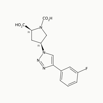 O=C(O)[C@@H]1C[C@H](n2cc(-c3cccc(F)c3)nn2)CN1C(=O)O